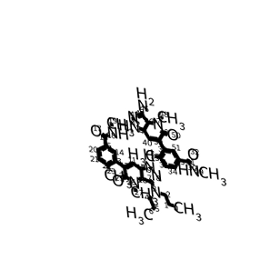 CCCN(CCC)C1=NNC2C=C(c3cc(C(=O)NC)ccc3C)C(=O)N(C)C12.CNC(=O)c1ccc(C)c(C2=CC3NN=C(N)C3N(C)C2=O)c1